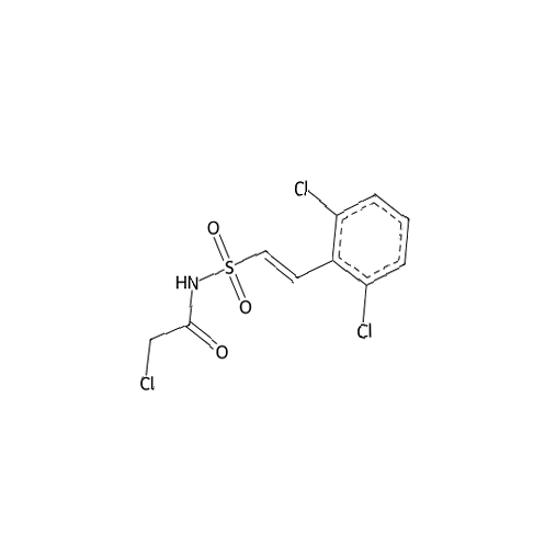 O=C(CCl)NS(=O)(=O)/C=C/c1c(Cl)cccc1Cl